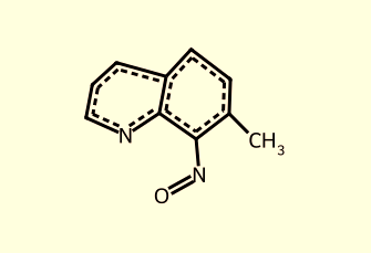 Cc1ccc2cccnc2c1N=O